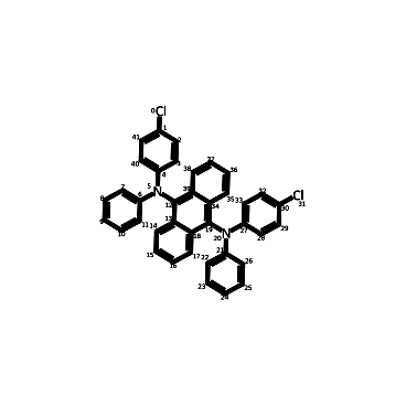 Clc1ccc(N(c2ccccc2)c2c3ccccc3c(N(c3ccccc3)c3ccc(Cl)cc3)c3ccccc23)cc1